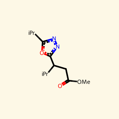 COC(=O)CC(c1nnc(C(C)C)o1)C(C)C